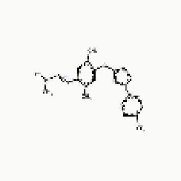 CCN(C)/C=N/c1cc(C)c(Oc2ccn(-c3ccc(C(F)(F)F)cc3)n2)cc1C